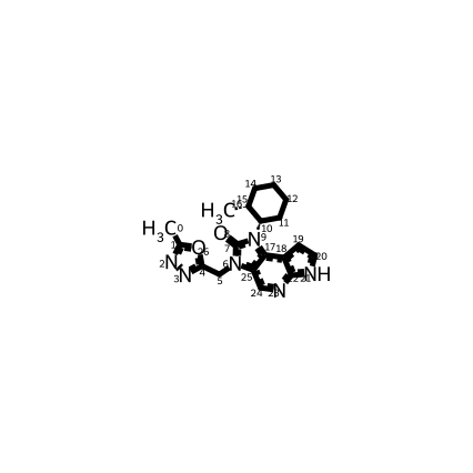 Cc1nnc(Cn2c(=O)n([C@H]3CCCC[C@H]3C)c3c4cc[nH]c4ncc32)o1